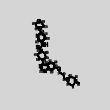 CN1CCN(CCCOc2ccc3c(C4CCN(C(=S)Nc5ccc(N6CCOCC6)nc5)CC4)ncnc3c2)CC1